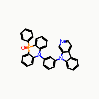 O=P1(c2ccccc2)c2ccccc2N(c2cccc(-n3c4ccccc4c4ccncc43)c2)c2ccccc21